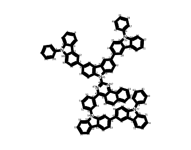 c1ccc(-n2c3ccccc3c3cc(-c4ccc5c(c4)c4cc(-c6ccc7c(c6)c6ccccc6n7-c6ccccc6)ccc4n5-c4nc(-c5cccc(-n6c7ccccc7c7ccc(-c8ccc9c(c8)c8ccccc8n9-c8ccccc8)cc76)c5)c5ccc6ccccc6c5n4)ccc32)cc1